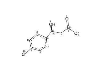 O=[N+]([O-])C[C@H](O)c1ccc(Cl)cc1